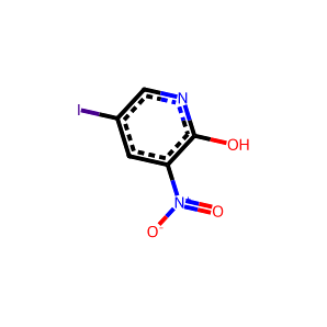 O=[N+]([O-])c1cc(I)cnc1O